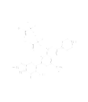 Cc1c(O)c(-c2cc(C3CC3)c3cc(N4CCNCC4)cnc3n2)cc2cn(C)nc12.O=C(O)C(F)(F)F.O=C(O)C(F)(F)F